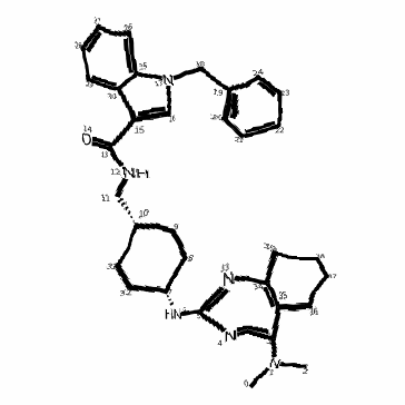 CN(C)c1nc(N[C@H]2CC[C@@H](CNC(=O)c3cn(Cc4ccccc4)c4ccccc34)CC2)nc2c1CCCC2